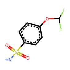 [NH]S(=O)(=O)c1ccc(OC(F)F)cc1